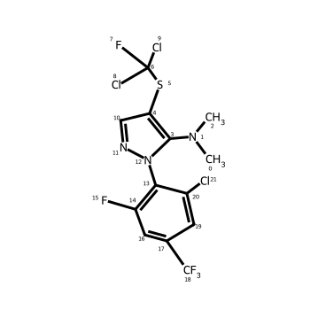 CN(C)c1c(SC(F)(Cl)Cl)cnn1-c1c(F)cc(C(F)(F)F)cc1Cl